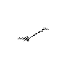 COCCOCCOCCOCCOCCOCCOC1(c2nccc(C(OC)OC)n2)CCCC1